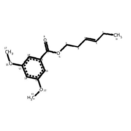 CCC=CCCOC(=O)c1cc(OC)cc(OC)c1